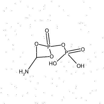 NC1OP(=O)(OP(=O)(O)O)O1